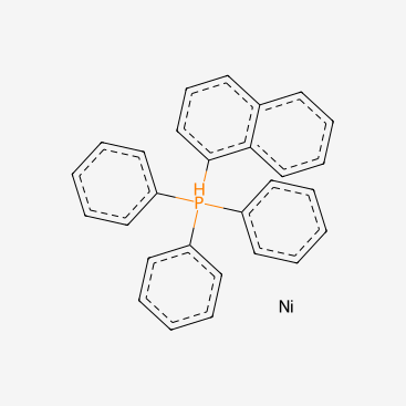 [Ni].c1ccc([PH](c2ccccc2)(c2ccccc2)c2cccc3ccccc23)cc1